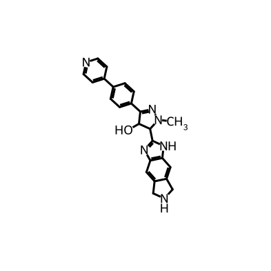 CN1N=C(c2ccc(-c3ccncc3)cc2)C(O)C1c1nc2cc3c(cc2[nH]1)CNC3